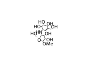 COC1O[C@H](CO)C(NC2C=C(CO)C(O)[C@@H](O)C2O)[C@H](O)C1O